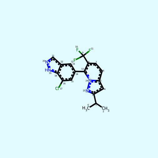 CC(C)c1cc2ccc(C(F)(F)F)c(-c3cc(Cl)c4[nH]ncc4c3)n2n1